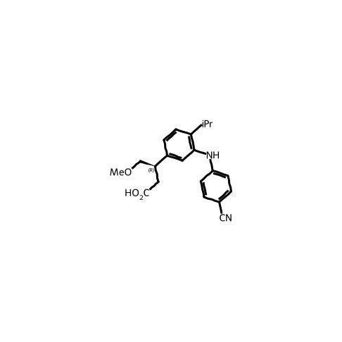 COC[C@H](CC(=O)O)c1ccc(C(C)C)c(Nc2ccc(C#N)cc2)c1